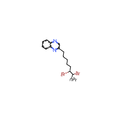 CCCC(Br)C(Br)CCCCCc1cnc2ccccc2n1